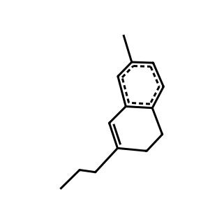 CCCC1=Cc2cc(C)ccc2CC1